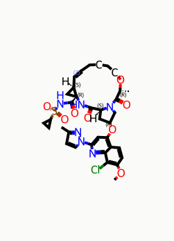 COc1ccc2c(O[C@@H]3C[C@H]4C(=O)N[C@]5(C(=O)NS(=O)(=O)C6CC6)C[C@H]5/C=C\CCCCO[C@H](C)C(=O)N4C3)cc(-n3ccc(C)n3)nc2c1Cl